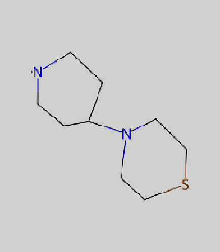 C1CC(N2CCSCC2)CC[N]1